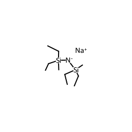 CC[Si](C)(CC)[N-][Si](C)(CC)CC.[Na+]